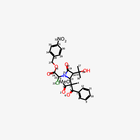 COC(=O)C(C)(C(=O)c1ccccc1)C1C(C(C)(C)O)C(=O)N1C(Cl)C(=O)OCc1ccc([N+](=O)[O-])cc1